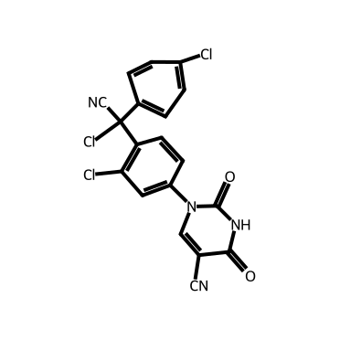 N#Cc1cn(-c2ccc(C(Cl)(C#N)c3ccc(Cl)cc3)c(Cl)c2)c(=O)[nH]c1=O